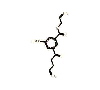 C=CCCC(=O)c1cc(C(=O)OCC)cc(C(=O)OCC=C)c1